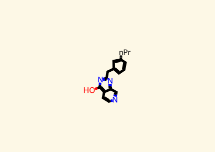 CCCc1cccc(Cc2nc(O)c3ccncc3n2)c1